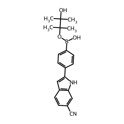 CC(C)(O)C(C)(C)OB(O)c1ccc(-c2cc3ccc(C#N)cc3[nH]2)cc1